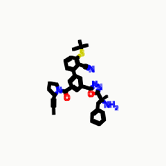 CC#CC1CCCN1C(=O)c1cc(-c2nnc([C@](C)(N)Cc3ccccc3)o2)cc(-c2cccc(SC(C)(C)C)c2C#N)c1